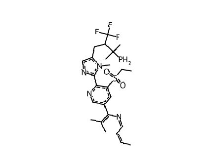 C/C=C\C=N/C(=C(C)C)c1cnc(-c2ncc(CC(C(F)(F)F)C(C)(C)P)n2C)c(S(=O)(=O)CC)c1